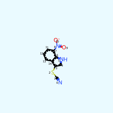 N#CSc1c[nH]c2c([N+](=O)[O-])cccc12